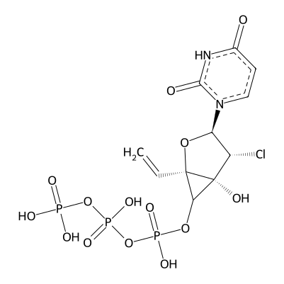 C=C[C@]12O[C@@H](n3ccc(=O)[nH]c3=O)[C@H](Cl)[C@@]1(O)C2OP(=O)(O)OP(=O)(O)OP(=O)(O)O